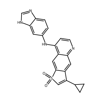 O=S1(=O)C=C(C2CC2)c2cc3nccc(Nc4ccc5nc[nH]c5c4)c3cc21